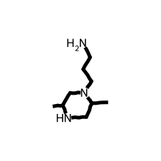 CC1CN(CCCN)C(C)CN1